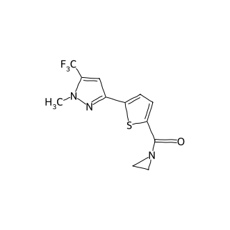 Cn1nc(-c2ccc(C(=O)N3CC3)s2)cc1C(F)(F)F